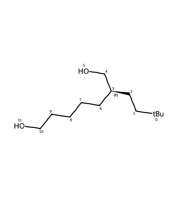 CC(C)(C)CC[C@H](CO)CCCCCO